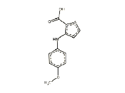 COc1ccc(Nc2ccsc2C(=O)O)cc1